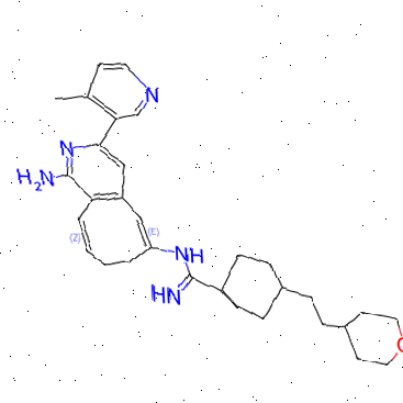 Cc1ccncc1-c1cc2c(c(N)n1)/C=C\CC/C(NC(=N)C1CCC(CCC3CCOCC3)CC1)=C\2